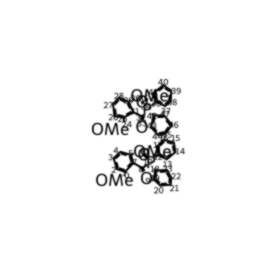 COc1cccc(OC)c1C(=O)P(=O)(c1ccccc1)c1ccccc1.COc1cccc(OC)c1C(=O)P(=O)(c1ccccc1)c1ccccc1